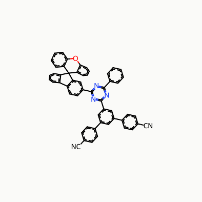 N#Cc1ccc(-c2cc(-c3ccc(C#N)cc3)cc(-c3nc(-c4ccccc4)nc(-c4ccc5c(c4)C4(c6ccccc6Oc6ccccc64)c4ccccc4-5)n3)c2)cc1